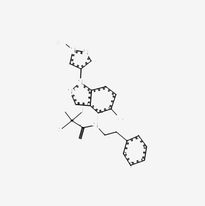 CC(C)n1cc(-n2ncc3cc(O[C@H](c4ccccc4)[C@H](C)NC(=O)C(C)(F)F)ccc32)cn1